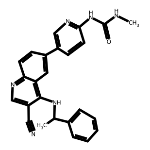 CNC(=O)Nc1ccc(-c2ccc3ncc(C#N)c(NC(C)c4ccccc4)c3c2)cn1